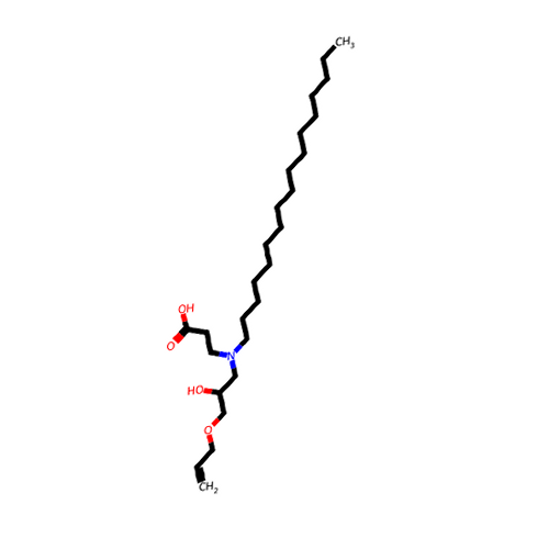 C=CCOCC(O)CN(CCCCCCCCCCCCCCCCC)CCC(=O)O